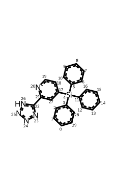 c1ccc([Si](c2ccccc2)(c2ccccc2)c2ccnc(-c3nnn[nH]3)c2)cc1